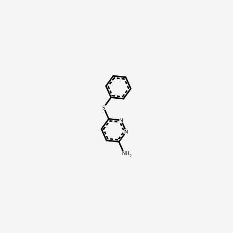 Nc1ccc(Sc2ccccc2)nn1